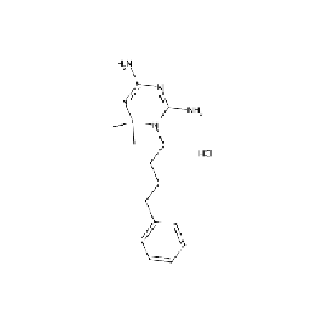 CC1(C)N=C(N)N=C(N)N1CCCCc1ccccc1.Cl